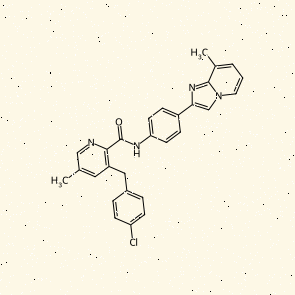 Cc1cnc(C(=O)Nc2ccc(-c3cn4cccc(C)c4n3)cc2)c(Cc2ccc(Cl)cc2)c1